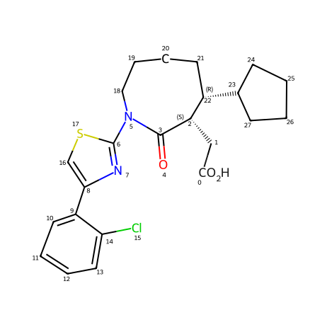 O=C(O)C[C@@H]1C(=O)N(c2nc(-c3ccccc3Cl)cs2)CCCC[C@@H]1C1CCCC1